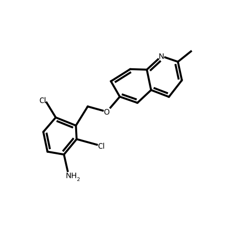 Cc1ccc2cc(OCc3c(Cl)ccc(N)c3Cl)ccc2n1